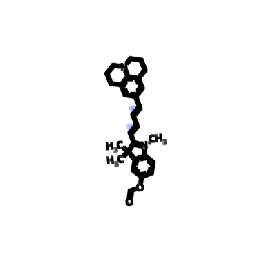 C[N+]1=C(/C=C/C=C/c2cc3c4c(c2)CCCN4CCC3)C(C)(C)c2cc(OC=O)ccc21